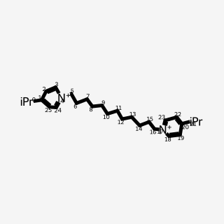 CC(C)c1cc[n+](CCCCCCCCCCCC[n+]2ccc(C(C)C)cc2)cc1